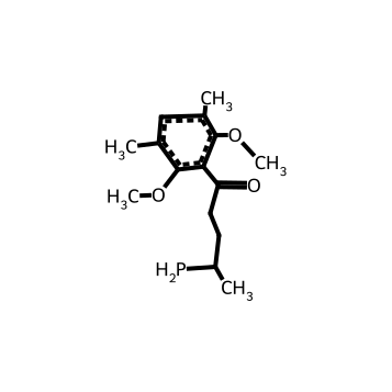 COc1c(C)cc(C)c(OC)c1C(=O)CCC(C)P